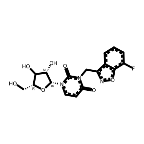 O=c1ccn([C@@H]2O[C@H](CO)C(O)[C@@H]2O)c(=O)n1Cc1noc2c(F)cccc12